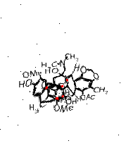 COc1cc2c(cc1O)CCN[C@@]21CS[C@@H]2c3c(OC(C)=O)c(C)c4c(c3[C@H](CCOC1=O)N1[C@@H]2c2c(cc(C)c(OC)c2O)C[C@]1(O)CN(C)C)OCO4